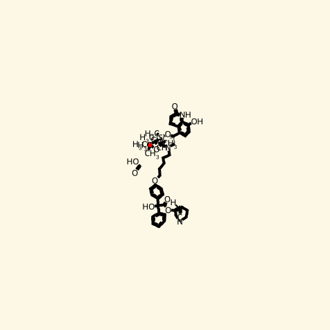 CC(C)(C)OC(=O)N(CCCCCOc1ccc(C(O)(C(=O)O[C@H]2CN3CCC2CC3)c2ccccc2)cc1)C[C@H](O[Si](C)(C)C(C)(C)C)c1ccc(O)c2[nH]c(=O)ccc12.O=CO